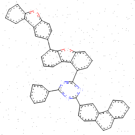 c1ccc(-c2nc(-c3ccc4ccc5ccccc5c4c3)nc(-c3cccc4oc5c(-c6ccc7oc8ccccc8c7c6)cccc5c34)n2)cc1